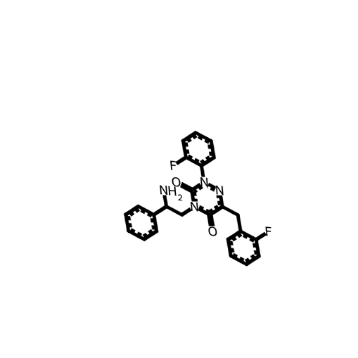 NC(Cn1c(=O)c(Cc2ccccc2F)nn(-c2ccccc2F)c1=O)c1ccccc1